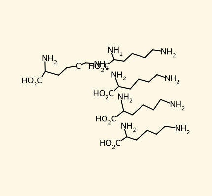 NCCCCC(N)C(=O)O.NCCCCC(N)C(=O)O.NCCCCC(N)C(=O)O.NCCCCC(N)C(=O)O.NCCCCC(N)C(=O)O